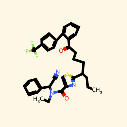 CCCC(CCCC(=O)c1ccccc1-c1ccc(C(F)(F)F)cc1)c1nc(C(=O)N(CC)C(C#N)c2ccccc2)cs1